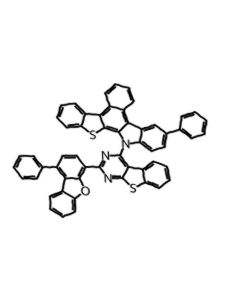 c1ccc(-c2ccc3c(c2)c2c4ccccc4c4c5ccccc5sc4c2n3-c2nc(-c3ccc(-c4ccccc4)c4c3oc3ccccc34)nc3sc4ccccc4c23)cc1